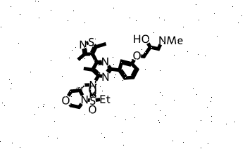 CCS(=O)(=O)N1CCOC[C@@H]1CNc1nc(-c2cccc(OCC(O)CNC)c2)nc(-c2c(C)nsc2C)c1C